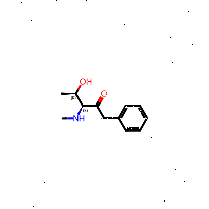 CN[C@H](C(=O)[CH]c1ccccc1)[C@@H](C)O